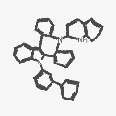 C1=CC2=C(CC1)NC(N1c3ccccc3-c3c(n(-c4cccc(-c5ccccc5)c4)c4ccccc34)-c3ccccc31)C=C2